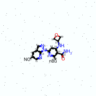 CCCCc1nc(-n2ncc3cc(C#N)cnc32)cc(NC2COC2)c1C(N)=O